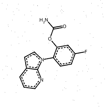 NC(=O)Oc1cc(F)ccc1-n1ccc2cccnc21